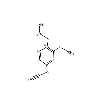 COc1cc(CC#N)ccc1CON